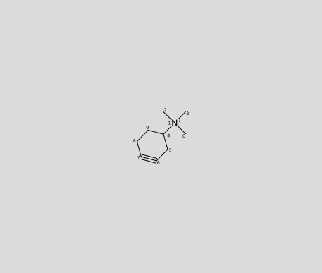 C[N+](C)(C)C1CC#CCC1